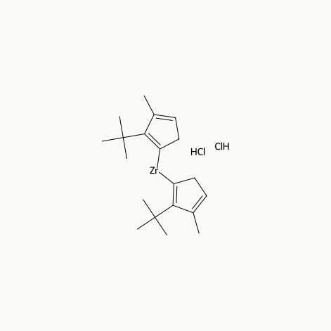 CC1=CC[C]([Zr][C]2=C(C(C)(C)C)C(C)=CC2)=C1C(C)(C)C.Cl.Cl